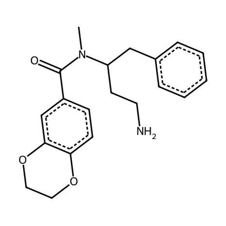 CN(C(=O)c1ccc2c(c1)OCCO2)C(CCN)Cc1ccccc1